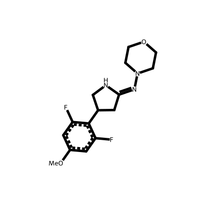 COc1cc(F)c(C2CN/C(=N\N3CCOCC3)C2)c(F)c1